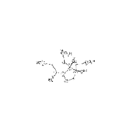 O=C(O)CC(O)[C@H]1OC[C@@](O)(CC(=O)O)[C@@]1(O)CC(=O)O